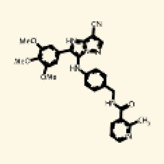 COc1cc(-c2[nH]c3c(C#N)cnn3c2Nc2ccc(CNC(=O)c3cccnc3C)cc2)cc(OC)c1OC